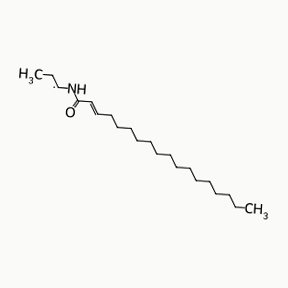 CC[CH]NC(=O)C=CCCCCCCCCCCCCCCC